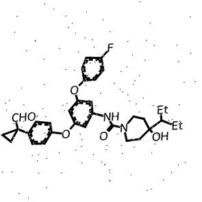 CCC(CC)C1(O)CCN(C(=O)Nc2cc(Oc3ccc(F)cc3)cc(Oc3ccc(C4([C]=O)CC4)cc3)c2)CC1